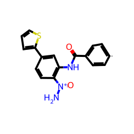 N[N+](=O)c1ccc(-c2cccs2)cc1NC(=O)c1cc[c]cc1